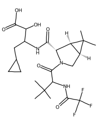 CC(C)(C)C(NC(=O)C(F)(F)F)C(=O)N1C[C@H]2[C@@H]([C@H]1C(=O)NC(CC1CC1)C(O)C(=O)O)C2(C)C